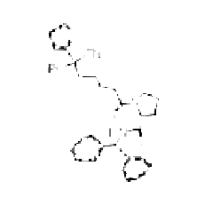 CC(C)C(C#N)(CCCCC(=O)N1CCC[C@@H]1C(=O)NC(c1ccccc1)c1ccccc1)c1cccs1